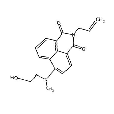 C=CCN1C(=O)c2cccc3c(N(C)CCO)ccc(c23)C1=O